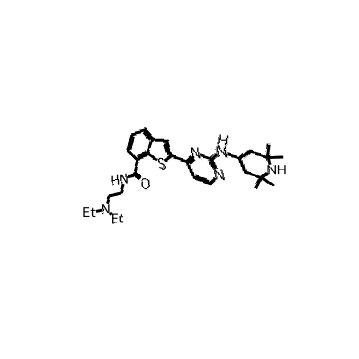 CCN(CC)CCNC(=O)c1cccc2cc(-c3ccnc(NC4CC(C)(C)NC(C)(C)C4)n3)sc12